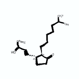 CCCCCC(O)C=C[C@H]1CCC(=O)[C@@H]1CCCCCC(O)C(=O)O